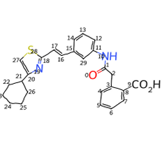 O=C(Cc1ccccc1C(=O)O)Nc1cccc(/C=C/c2nc(C3CCCCC3)cs2)c1